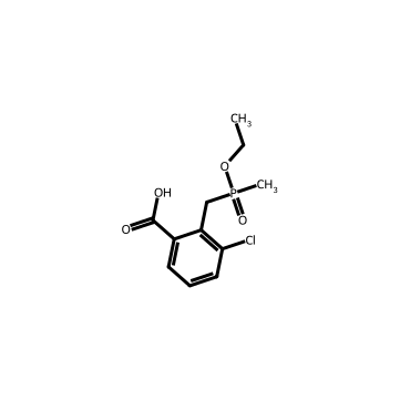 CCOP(C)(=O)Cc1c(Cl)cccc1C(=O)O